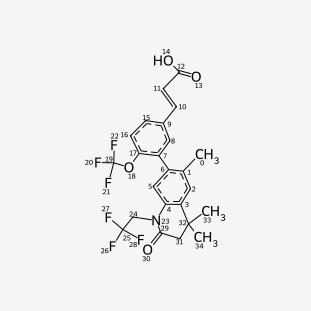 Cc1cc2c(cc1-c1cc(/C=C/C(=O)O)ccc1OC(F)(F)F)N(CC(F)(F)F)C(=O)CC2(C)C